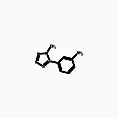 CN1N=NN=S1c1cccc(N)c1